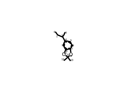 CCC(C)c1ccc2c(c1)OC(C)(C)O2